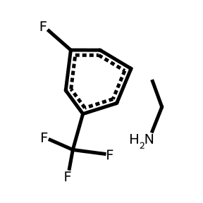 CCN.Fc1cccc(C(F)(F)F)c1